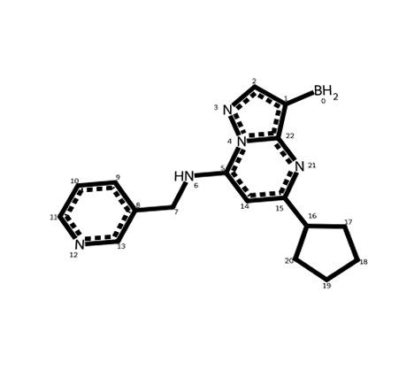 Bc1cnn2c(NCc3cccnc3)cc(C3CCCC3)nc12